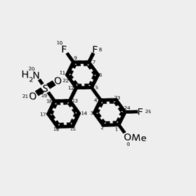 COc1ccc(-c2cc(F)c(F)cc2-c2ccccc2S(N)(=O)=O)cc1F